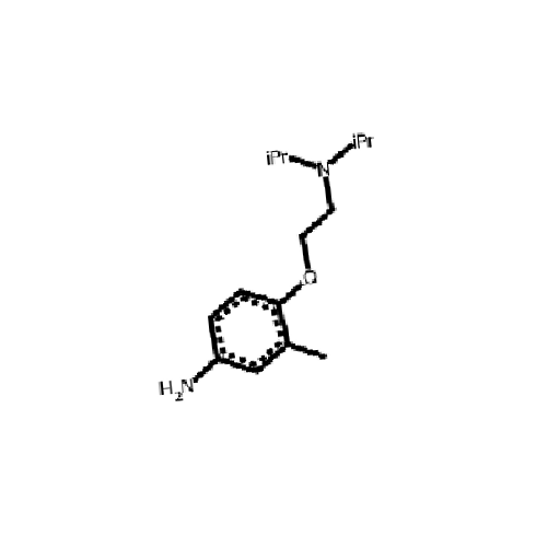 Cc1cc(N)ccc1OCCN(C(C)C)C(C)C